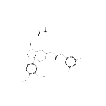 COc1ccc(C23CCC(NC(=N)Nc4cc(Cl)cc(Cl)c4)CC2N(C)CC3)cc1OC.O=C(O)C(F)(F)F